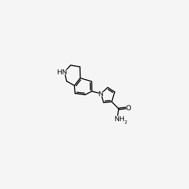 NC(=O)c1ccn(-c2ccc3c(c2)CCNC3)c1